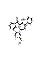 C\C=C/C(=C\C=N\C)C(=O)N1/C(=C2/Nc3ccccc3C2=O)C(=O)c2ccccc21